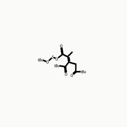 C/C(C(=O)OSOC(C)(C)C)=C(\CC(=O)C(C)(C)C)C(=O)C(C)(C)C